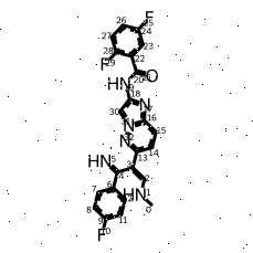 CN/C=C(\C(=N)c1ccc(F)cc1)c1ccc2nc(NC(=O)c3cc(F)ccc3F)cn2n1